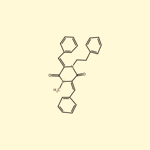 Cn1c(=O)/c(=C/c2ccccc2)n(CCc2ccccc2)c(=O)/c1=C/c1ccccc1